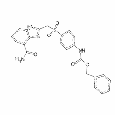 NC(=O)c1cccc2[nH]c(CS(=O)(=O)c3ccc(NC(=O)OCc4ccccc4)cc3)nc12